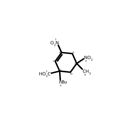 CCCCC1(C(=O)O)C=C([N+](=O)[O-])CC(C)([N+](=O)[O-])C1